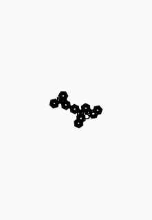 c1ccc(-n2c3ccccc3c3cc(-c4ccc(N(c5ccc6ccccc6c5)c5cccc6c5sc5ccc7ccccc7c56)cc4)ccc32)cc1